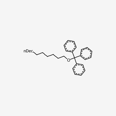 CCCCCCCCCCCCCCCCOC(c1ccccc1)(c1ccccc1)c1ccccc1